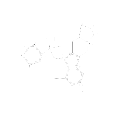 Cc1cc(F)cc2c3c(n(CC(C)(O)c4ccncc4)c12)CC1CCCN1C3